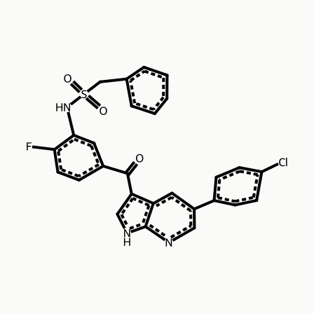 O=C(c1ccc(F)c(NS(=O)(=O)Cc2ccccc2)c1)c1c[nH]c2ncc(-c3ccc(Cl)cc3)cc12